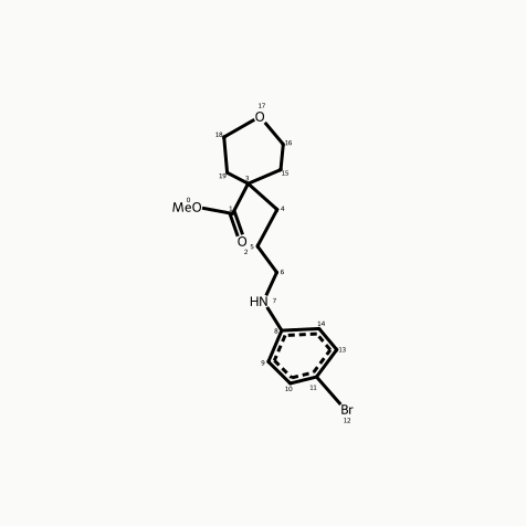 COC(=O)C1(CCCNc2ccc(Br)cc2)CCOCC1